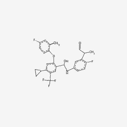 Cc1cc(F)ccc1Oc1cc(C2CC2)c(C(F)(F)F)cc1C(O)Nc1ccc(F)c(C(C)C=O)c1